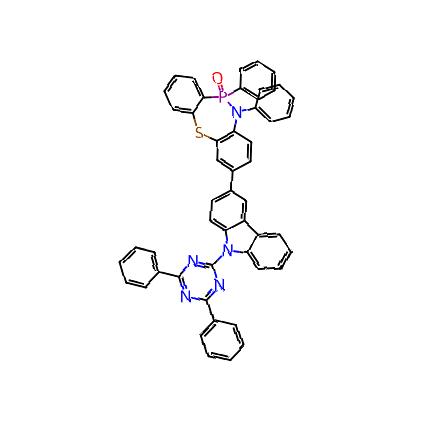 O=P1(c2ccccc2)c2ccccc2Sc2cc(-c3ccc4c(c3)c3ccccc3n4-c3nc(-c4ccccc4)nc(-c4ccccc4)n3)ccc2N1c1ccccc1